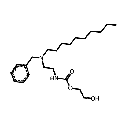 CCCCCCCCCCN(CCNC(=O)OCCO)Cc1ccccc1